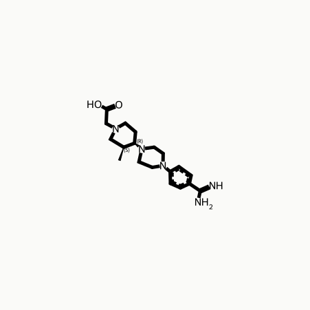 C[C@H]1CN(CC(=O)O)CC[C@H]1N1CCN(c2ccc(C(=N)N)cc2)CC1